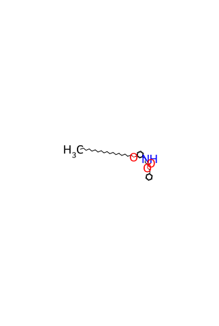 CCCCCCCCCCCCCCCCCCOc1cccc(NCC(=O)OCc2ccccc2)c1